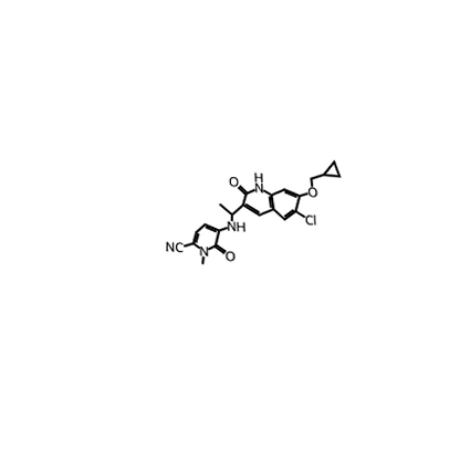 CC(Nc1ccc(C#N)n(C)c1=O)c1cc2cc(Cl)c(OCC3CC3)cc2[nH]c1=O